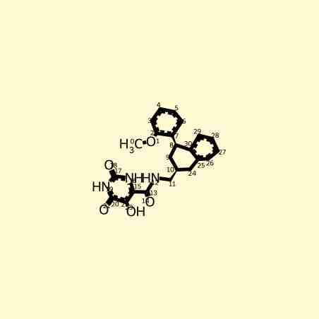 COc1ccccc1[C@@H]1C[C@H](CNC(=O)c2[nH]c(=O)[nH]c(=O)c2O)Cc2ccccc21